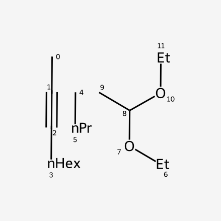 CC#CCCCCCC.CCCC.CCOC(C)OCC